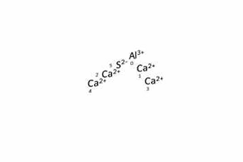 [Al+3].[Ca+2].[Ca+2].[Ca+2].[Ca+2].[S-2]